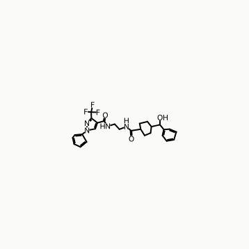 O=C(NCCNC(=O)C1CCC(C(O)c2ccccc2)CC1)c1cn(-c2ccccc2)nc1C(F)(F)F